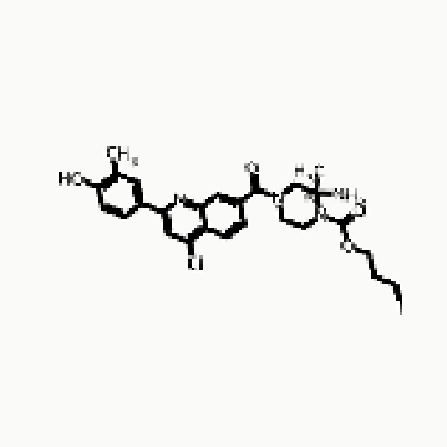 Cc1cc(-c2cc(Cl)c3ccc(C(=O)N4CCN(C(=O)OCCCI)[C@@](C)(N)C4)cc3n2)ccc1O